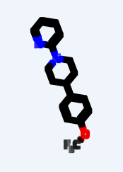 FC(F)(F)Oc1ccc([C]2CCN(c3ccccn3)CC2)cc1